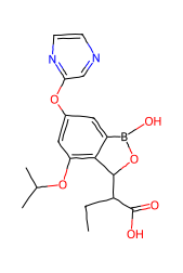 CCC(C(=O)O)C1OB(O)c2cc(Oc3cnccn3)cc(OC(C)C)c21